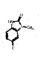 CC(=O)On1c(=O)[nH]c2ccc(Cl)cc21